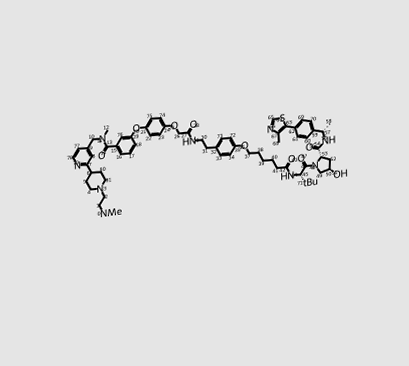 CNCCN1CCC(c2cc(CN(C)C(=O)c3cccc(Oc4ccc(OCC(=O)NCCc5ccc(OCCCCCC(=O)N[C@H](C(=O)N6C[C@H](O)C[C@H]6C(=O)N[C@@H](C)c6ccc(-c7scnc7C)cc6)C(C)(C)C)cc5)cc4)c3)ccn2)CC1